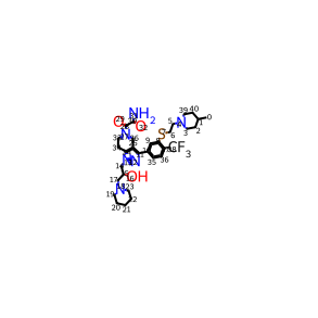 CC1CCN(CCSc2cc(-c3nn(C[C@@H](O)CN4CCCCC4)c4c3CN(C(=O)C(N)=O)CC4)ccc2C(F)(F)F)CC1